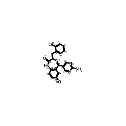 Nc1ncc(C2=NC(Cc3ccccc3Cl)C(=O)Nc3ccc(Cl)cc32)cn1